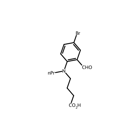 CCCN(CCCC(=O)O)c1ccc(Br)cc1C=O